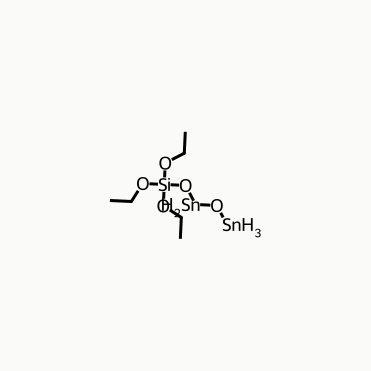 CCO[Si](OCC)(OCC)[O][SnH2][O][SnH3]